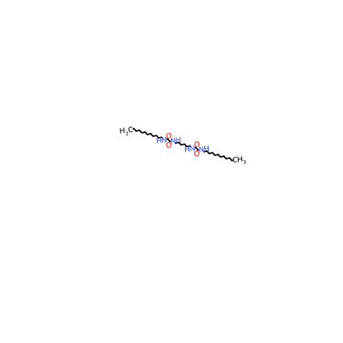 CCCCCCCCCCCCNC(=O)C(=O)NCCCCCCNC(=O)C(=O)NCCCCCCCCCCCC